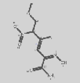 COCC(/C(C)=C/C(=NO)C(N)=O)[N+](=O)[O-]